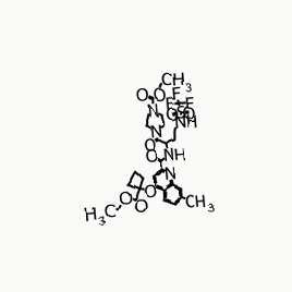 CCOC(=O)N1CCN(C(=O)C(CCNS(=O)(=O)C(F)(F)F)NC(=O)c2cc(OC3(C(=O)OCC)CCC3)c3ccc(C)cc3n2)CC1